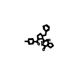 Cc1ccc(C(=O)N2CCC(Cc3ccccc3)C2C2NC(=O)C3=C(CCC3)N2)cc1